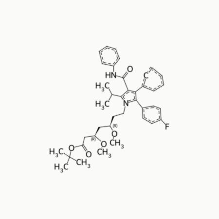 CO[C@H](CCn1c(-c2ccc(F)cc2)c(-c2ccccc2)c(C(=O)Nc2ccccc2)c1C(C)C)C[C@H](CC(=O)OC(C)(C)C)OC